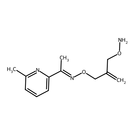 C=C(CON)CO/N=C(\C)c1cccc(C)n1